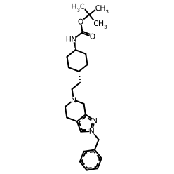 CC(C)(C)OC(=O)N[C@H]1CC[C@H](CCN2CCc3cn(Cc4ccccc4)nc3C2)CC1